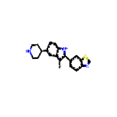 CC(C)c1c(-c2ccc3ncsc3c2)[nH]c2ccc(C3CCNCC3)cc12